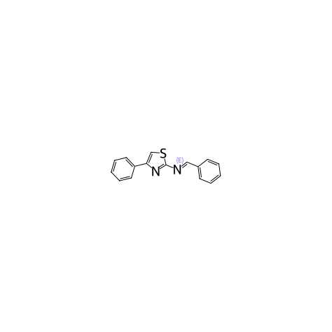 C(=N\c1nc(-c2ccccc2)cs1)/c1ccccc1